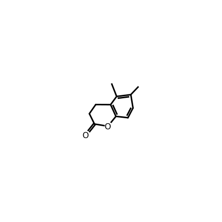 Cc1ccc2c(c1C)CCC(=O)O2